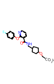 O=C(O)COC1CCC(CNC(=O)c2cccnc2Oc2ccc(F)cc2)CC1